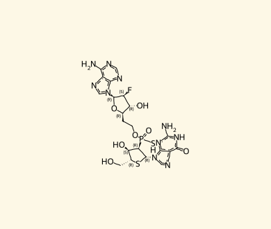 Nc1nc2c(ncn2[C@@H]2S[C@H](CO)[C@@H](O)[C@H]2P(=O)(S)OCC[C@H]2O[C@@H](n3cnc4c(N)ncnc43)[C@@H](F)[C@@H]2O)c(=O)[nH]1